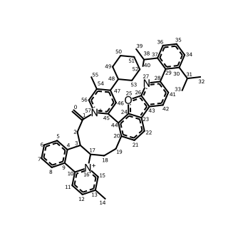 C=C1CC2c3ccccc3-c3ccc(C)c[n+]3C2CCc2ccc3c(oc4nc(-c5c(C(C)C)cccc5C(C)C)ccc43)c2-c2cc(C3CCCCC3)c(C)c[n+]21